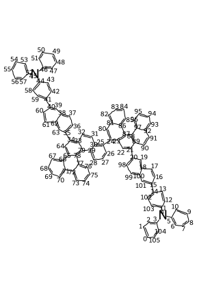 c1ccc(N(c2ccccc2)c2ccc(-c3ccc4cc(-c5cc6c(-c7cccc8c7ccc7c(-c9ccc%10cc(-c%11ccc(N(c%12ccccc%12)c%12ccccc%12)cc%11)ccc%10c9)cc9c%10ccccc%10c%10ccccc%10c9c78)cc7ccccc7c6c6c5ccc5ccccc56)ccc4c3)cc2)cc1